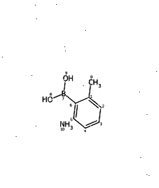 Cc1ccccc1B(O)O.N